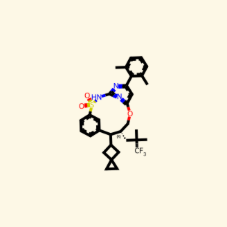 Cc1cccc(C)c1-c1cc2nc(n1)NS(=O)(=O)c1cccc(c1)C(C1CC3(CC3)C1)[C@@H](CC(C)(C)C(F)(F)F)CO2